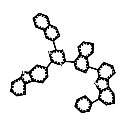 c1ccc(-c2cccc3c2sc2c(-c4ccc(-c5nc(-c6ccc7ccccc7c6)nc(-c6ccc7c(c6)oc6ccccc67)n5)c5ccccc45)cccc23)cc1